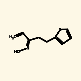 C=CC(CCc1cccs1)=NO